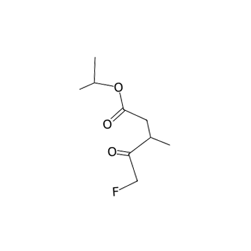 CC(C)OC(=O)CC(C)C(=O)CF